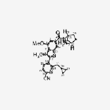 COc1cc(C(=O)N2C[C@H]3CC[C@@H]2[C@@H]3N)cc2nc(-c3ccc(C#N)nc3CC3CC3)n(C)c12